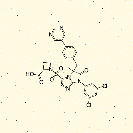 CC1(Cc2ccc(-c3cncnc3)cc2)C(=O)N(c2cc(Cl)cc(Cl)c2)c2ncc(S(=O)(=O)N3CCC3C(=O)O)n21